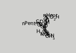 CCCCC/C=C/CC(CC(=O)OCCOCCN(CCOCCOCCOC(=O)CC(C/C=C/CCCCCCC)C(=O)O)c1ccc(/N=N/c2sc(C#N)c(C)c2C#N)c(C)c1)C(=O)O